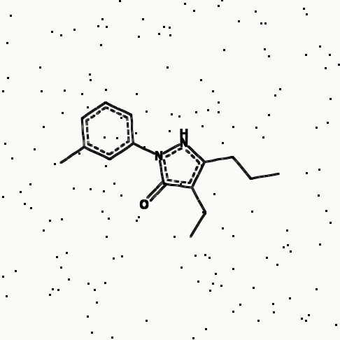 CCCc1[nH]n(-c2cccc(C)c2)c(=O)c1CC